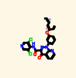 C=C/C(=C\C=C/C)Oc1cccc(-n2nc(C(=O)Nc3c(Cl)cncc3Cl)c(=O)c3cccnc32)c1